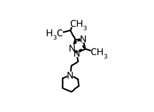 Cc1nc(C(C)C)nn1CCN1CCCCC1